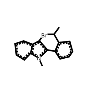 CC(C)c1ccccc1-c1c(Br)c2ccccc2n1C